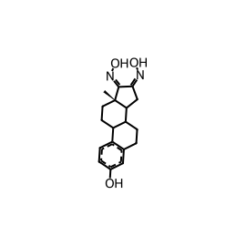 C[C@]12CCC3c4ccc(O)cc4CCC3C1CC(=N/O)/C2=N\O